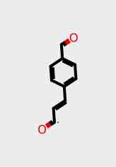 O=[C]/C=C/c1ccc(C=O)cc1